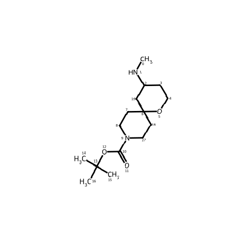 CNC1CCOC2(CCN(C(=O)OC(C)(C)C)CC2)C1